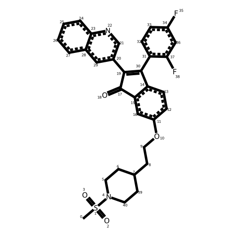 CS(=O)(=O)N1CCC(CCOc2ccc3c(c2)C(=O)C(c2cnc4ccccc4c2)=C3c2ccc(F)cc2F)CC1